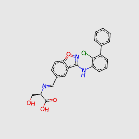 O=C(O)[C@@H](CO)N=Cc1ccc2onc(Nc3cccc(-c4ccccc4)c3Cl)c2c1